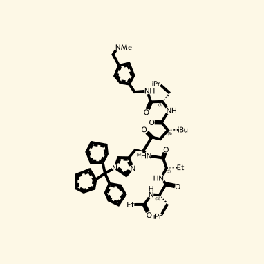 CCC(=O)N[C@@H](CC(C)C)C(=O)N[C@@H](CC)C(=O)N[C@@H](Cc1cn(C(c2ccccc2)(c2ccccc2)c2ccccc2)cn1)C(=O)C[C@H](C(=O)N[C@@H](CC(C)C)C(=O)NCc1ccc(CNC)cc1)C(C)CC